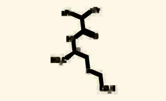 CCCC(CCC)C(=O)N[C@@H](CSCC(=O)O)C(=O)O